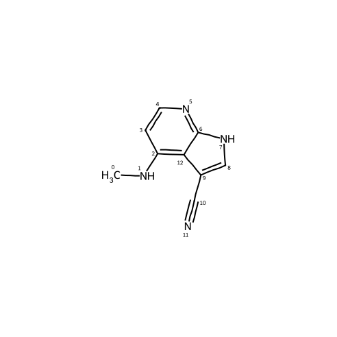 CNc1ccnc2[nH]cc(C#N)c12